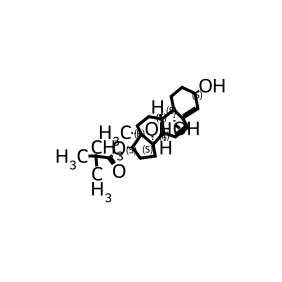 CC(C)(C)C(=O)O[C@H]1CC[C@]2(O)[C@@H]3C=CC4=C[C@@H](O)CC[C@]4(CO)[C@H]3CC[C@]12C